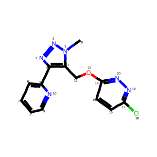 Cn1nnc(-c2ccccn2)c1COc1ccc(Cl)nn1